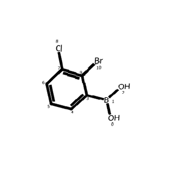 OB(O)c1cccc(Cl)c1Br